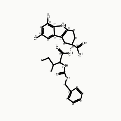 CCC(C)C(NC(=O)OCc1ccccc1)C(=O)N[C@@]1(C(=O)O)CCc2[nH]c3c(Cl)cc(Cl)cc3c2C1